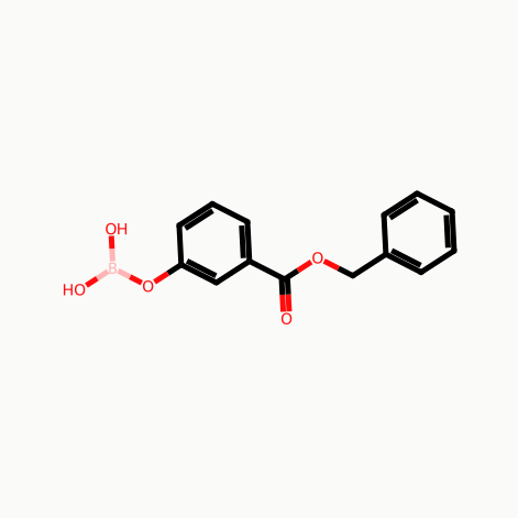 O=C(OCc1ccccc1)c1cccc(OB(O)O)c1